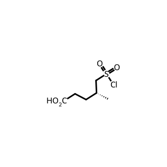 C[C@H](CCC(=O)O)CS(=O)(=O)Cl